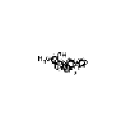 Cc1cc(C)c(CC(=O)N(C)C2(N)CCN(N3CCOCC3)CC2)c(C)c1